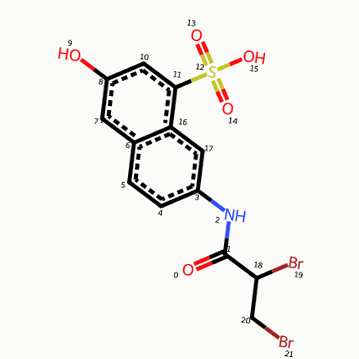 O=C(Nc1ccc2[c]c(O)cc(S(=O)(=O)O)c2c1)C(Br)CBr